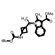 COC(=O)c1c(C)n([C@H](C)C23CC(NC(=O)OC(C)(C)C)(C2)C3)c2ccccc12